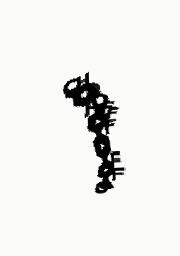 C=CC1CC=C(OC(F)(F)c2ccc(-c3ccc(-c4ccc(C5CO5)c(F)c4F)cc3)c(F)c2F)CC1